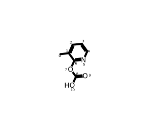 Cc1cccnc1OC(=O)O